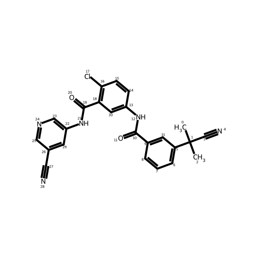 CC(C)(C#N)c1cccc(C(=O)Nc2ccc(Cl)c(C(=O)Nc3cncc(C#N)c3)c2)c1